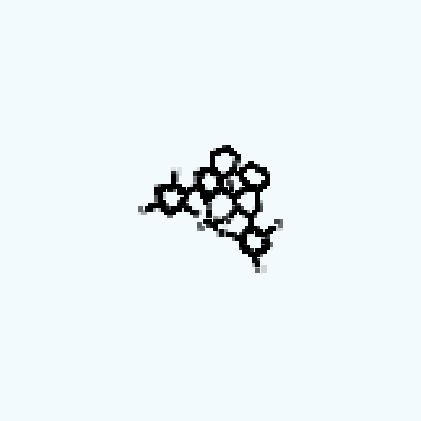 O=P1(O)Oc2c(-c3c(Cl)cc(Cl)cc3Cl)cc3c(c2[C@@H]2C4=C(CCCC4)C[C@H](c4c(Cl)cc(Cl)cc4Cl)C2O1)CCCC3